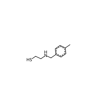 Cc1ccc(CNCCS)cc1